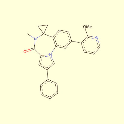 COc1ncccc1-c1ccc2c(c1)-n1cc(-c3ccccc3)cc1C(=O)N(C)C21CC1